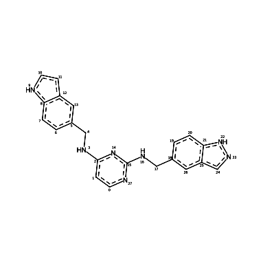 c1cc(NCc2ccc3[nH]ccc3c2)nc(NCc2ccc3[nH]ncc3c2)n1